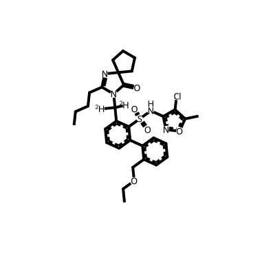 [2H]C([2H])(c1cccc(-c2ccccc2COCC)c1S(=O)(=O)Nc1noc(C)c1Cl)N1C(=O)C2(CCCC2)N=C1CCCC